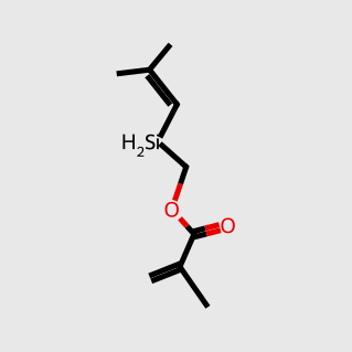 C=C(C)C(=O)OC[SiH2]C=C(C)C